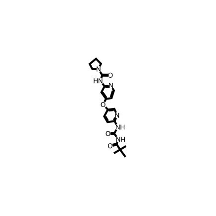 CC(C)(C)C(=O)NC(=O)Nc1ccc(Oc2ccnc(NC(=O)N3CCCC3)c2)cn1